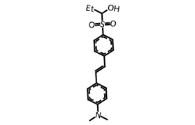 CCC(O)S(=O)(=O)c1ccc(C=Cc2ccc(N(C)C)cc2)cc1